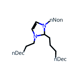 CCCCCCCCCCCCCC1N(CCCCCCCCC)C=CN1CCCCCCCCCCCC